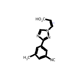 [C-]#[N+]c1cc(C)cc(-c2ncn(/C=C\C(=O)O)n2)c1